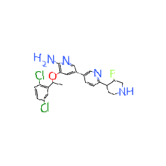 CC(Oc1cc(-c2ccc(C3CCNCC3F)nc2)cnc1N)c1cc(Cl)ccc1Cl